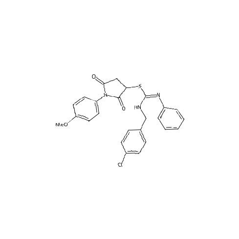 COc1ccc(N2C(=O)CC(S/C(=N/c3ccccc3)NCc3ccc(Cl)cc3)C2=O)cc1